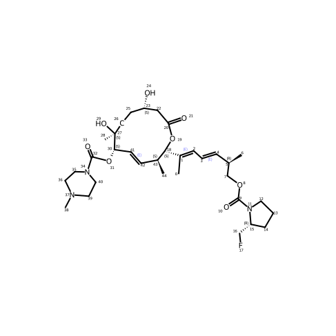 C/C(=C\C=C\[C@@H](C)COC(=O)N1CCC[C@@H]1CF)[C@H]1OC(=O)C[C@@H](O)CC[C@](C)(O)[C@@H](OC(=O)N2CCN(C)CC2)/C=C/[C@@H]1C